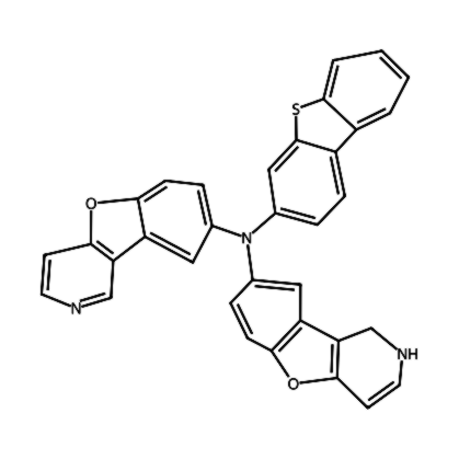 C1=Cc2oc3ccc(N(c4ccc5c(c4)sc4ccccc45)c4ccc5oc6ccncc6c5c4)cc3c2CN1